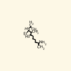 C=C(N)CCCCC(S)C(C)C(CC)NC(=C)C